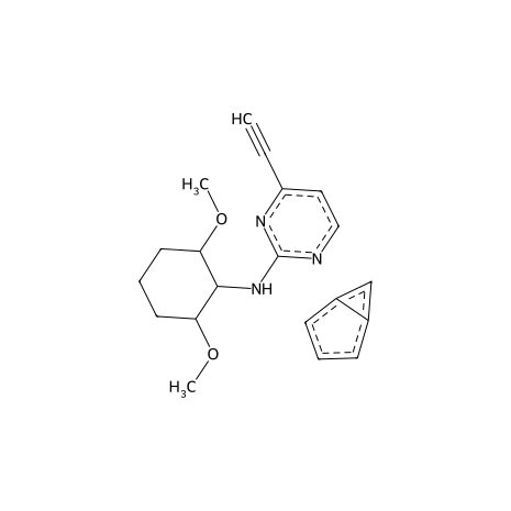 C#Cc1ccnc(NC2C(OC)CCCC2OC)n1.c1cc2cc-2c1